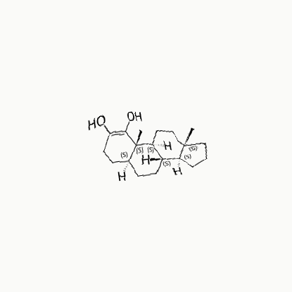 C[C@@]12CCC[C@H]1[C@@H]1CC[C@H]3CCC(O)=C(O)[C@]3(C)[C@H]1CC2